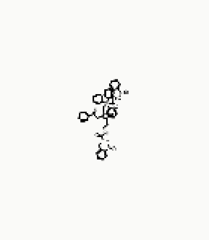 O=C(NCCC1C(=O)N(CP(C(=O)OCc2ccccc2[N+](=O)[O-])(c2ccccc2)(c2ccccc2)c2ccccc2)C1CC(=S)c1ccccc1)OCc1ccccc1[N+](=O)[O-]